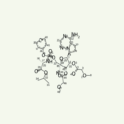 COCC(=O)O[C@H]1[C@H](c2ccc3c(N)ncnn23)O[C@](C#N)(CO[P@@](=O)(N[C@@H](C)C(=O)OC(C)C)Oc2ccccc2)[C@H]1OC(=O)COC